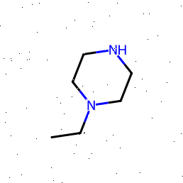 C[CH]N1CCNCC1